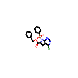 O=C(OCc1ccccc1)c1cc2c(Cl)ncnc2n1S(=O)(=O)c1ccccc1